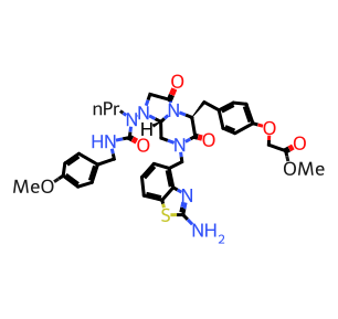 CCCN(C(=O)NCc1ccc(OC)cc1)N1CC(=O)N2[C@@H](Cc3ccc(OCC(=O)OC)cc3)C(=O)N(Cc3cccc4sc(N)nc34)C[C@@H]21